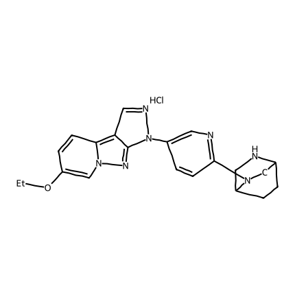 CCOc1ccc2c3cnn(-c4ccc(N5CC6CCC5CN6)nc4)c3nn2c1.Cl